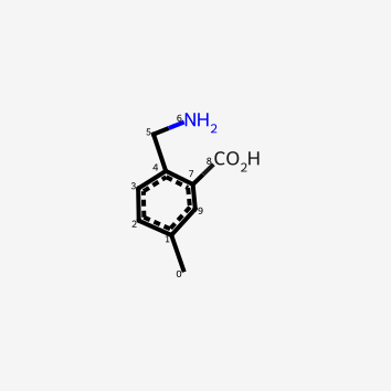 Cc1ccc(CN)c(C(=O)O)c1